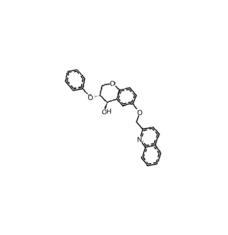 O[C@@H]1c2cc(OCc3ccc4ccccc4n3)ccc2OC[C@H]1Oc1ccccc1